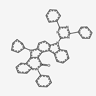 O=c1c2c3c4c5ccccc5n(-c5nc(-c6ccccc6)nc(-c6ccccc6)n5)c4ccc3n(-c3ccccc3)c2c2ccccc2n1-c1ccccc1